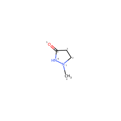 CN1CCC(=O)N1